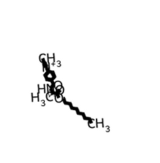 CC#[N+]c1ccc(C(=O)N[C@@H](C)C(=O)OCCCCCCCCCC)cc1